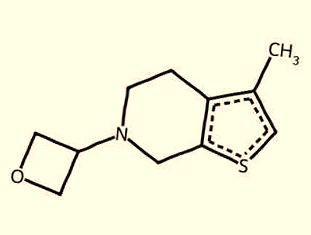 Cc1csc2c1CCN(C1COC1)C2